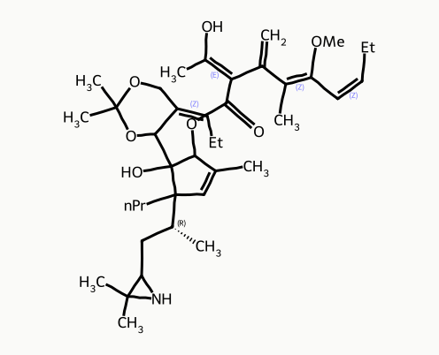 C=C(/C(C)=C(/C=C\CC)OC)/C(C(=O)OC1C(C)=CC(CCC)([C@H](C)CC2NC2(C)C)C1(O)C1OC(C)(C)OC/C1=C/CC)=C(/C)O